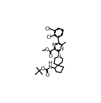 COC(=O)c1nc(-c2cccc(Cl)c2Cl)c(C)nc1N1CCC2(CCCC2NC(=O)OC(C)(C)C)CC1